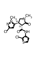 CN1C[C@H](c2cc(Cl)nn2C)[C@@H](C(=O)Nc2ccsc2Cl)C1=O